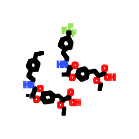 CCOC(Cc1ccc(OC(C)C(=O)NCCc2ccc(C(F)(F)F)cc2)cc1)C(=O)O.CCO[C@@H](Cc1ccc(O[C@H](C)C(=O)NCCc2ccc(CC)cc2)cc1)C(=O)O